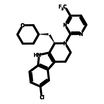 FC(F)(F)c1ccnc(N2CCc3c([nH]c4ccc(Cl)cc34)[C@@H]2C[C@@H]2CCCOC2)n1